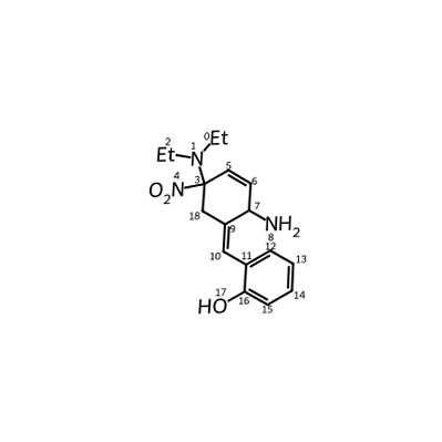 CCN(CC)C1([N+](=O)[O-])C=CC(N)/C(=C\c2ccccc2O)C1